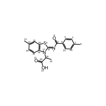 Cc1ccc(C(=O)N=c2sc3cc(C)ccc3n2C(C)C(=O)O)cc1